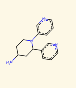 NC1CCN(c2cccnc2)C(c2cccnc2)C1